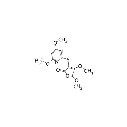 COC1=C(Sc2nc(OC)cc(OC)n2)C(=O)OC1OC